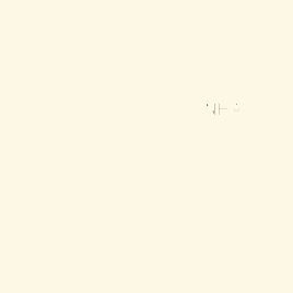 CC(=O)NC(C)c1cccc(C)c1